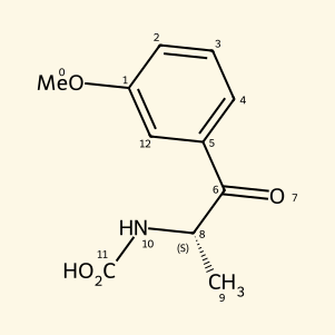 COc1cccc(C(=O)[C@H](C)NC(=O)O)c1